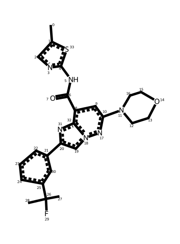 Cc1cnc(NC(=O)c2cc(N3CCOCC3)nn3cc(-c4cccc(C(C)(C)F)c4)nc23)s1